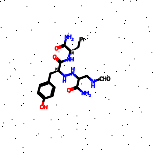 CC(C)C[C@H](NC(=O)[C@H](Cc1ccc(O)cc1)NNC(CNC=O)C(N)=O)C(N)=O